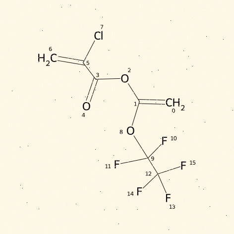 C=C(OC(=O)C(=C)Cl)OC(F)(F)C(F)(F)F